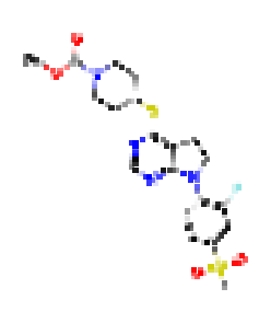 CC(C)OC(=O)N1CCC(Sc2ncnc3c2CCN3c2ccc(S(C)(=O)=O)cc2F)CC1